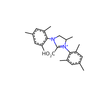 Cc1cc(C)c(N2CC(C)[N+](c3c(C)cc(C)cc3C)=C2C(=O)O)c(C)c1